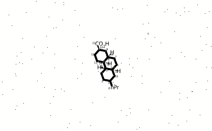 CCCC1CC[C@H]2[C@@H](CC[C@@H]3C[C@H](C(=O)O)CC[C@@H]32)C1